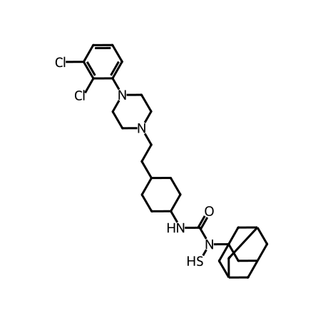 O=C(NC1CCC(CCN2CCN(c3cccc(Cl)c3Cl)CC2)CC1)N(S)C12CC3CC(CC(C3)C1)C2